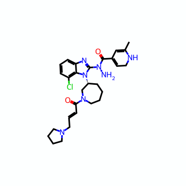 CC1=CC(C(=O)N(N)c2nc3cccc(Cl)c3n2[C@@H]2CCCCN(C(=O)/C=C/CN3CCCC3)C2)=CCN1